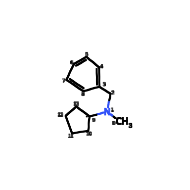 CN(Cc1ccccc1)[C]1CCCC1